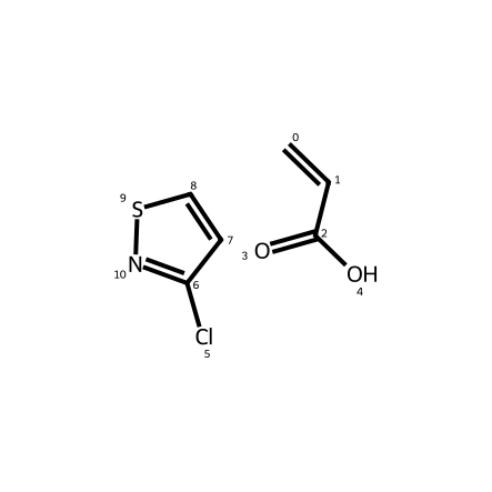 C=CC(=O)O.Clc1ccsn1